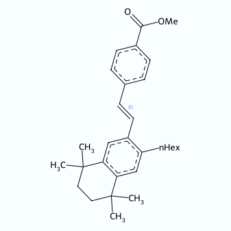 CCCCCCc1cc2c(cc1/C=C/c1ccc(C(=O)OC)cc1)C(C)(C)CCC2(C)C